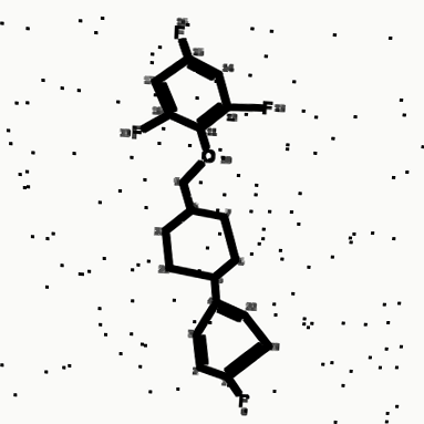 Fc1ccc(C2CCC(COc3c(F)cc(F)cc3F)CC2)cc1